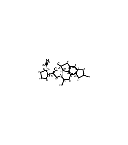 CC1Cc2cc3c(c(CC(C)NCC(=O)N4CCC[C@H]4C#N)c2C1)CC(C)C3